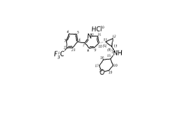 Cl.FC(F)(F)c1cccc(-c2ccc([C@@H]3C[C@H]3NC3CCOCC3)cn2)c1